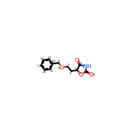 O=C1NC(=O)C(CCOCc2ccccc2)O1